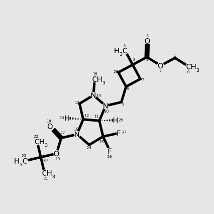 CCOC(=O)C1(C)CC(CN2[C@@H]3[C@H](CN2C)N(C(=O)OC(C)(C)C)CC3(F)F)C1